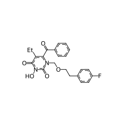 CCc1c(C(=O)c2ccccc2)n(COCCc2ccc(F)cc2)c(=O)n(O)c1=O